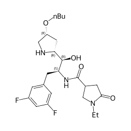 CCCCO[C@H]1CN[C@@H]([C@@H](O)[C@H](Cc2cc(F)cc(F)c2)NC(=O)C2CC(=O)N(CC)C2)C1